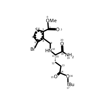 COC(=O)c1scc(Br)c1CN[C@@H](CCC(=O)OC(C)(C)C)C(N)=O